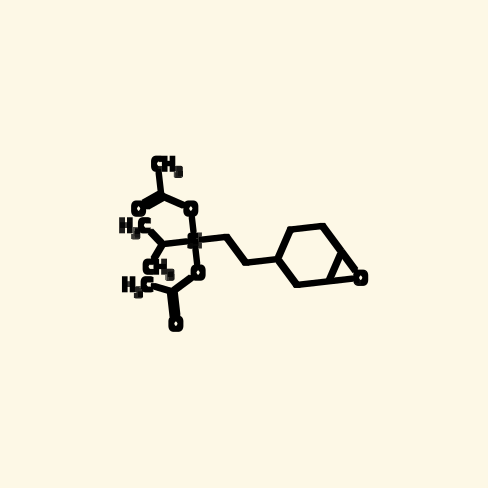 CC(=O)O[Si](CCC1CCC2OC2C1)(OC(C)=O)C(C)C